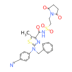 Cc1sc(N(Cc2ccccc2)c2ccc(C#N)cc2)nc1C(=O)NS(=O)(=O)CCN1C(=O)CCC1=O